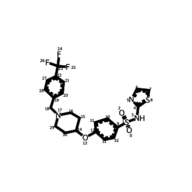 O=S(=O)(Nc1nccs1)c1ccc(OC2CCN(Cc3ccc(C(F)(F)F)cc3)CC2)cc1